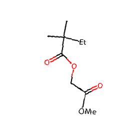 CCC(C)(C)C(=O)OCC(=O)OC